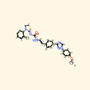 CCc1ccccc1N1CCS/C1=N\C(=O)N/C=C/c1ccc(-c2ncn(-c3ccc(OC(F)(F)F)cc3)n2)cc1